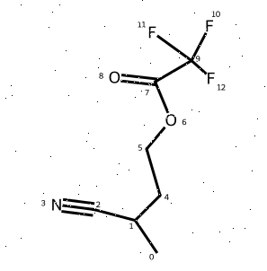 CC(C#N)CCOC(=O)C(F)(F)F